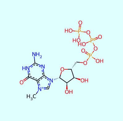 C[n+]1cn([C@@H]2O[C@H](COP(=O)(O)OP(=O)(O)OP(=O)(O)O)[C@@H](O)[C@H]2O)c2nc(N)[nH]c(=O)c21